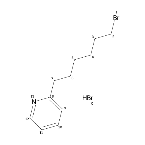 Br.BrCCCCCCc1ccccn1